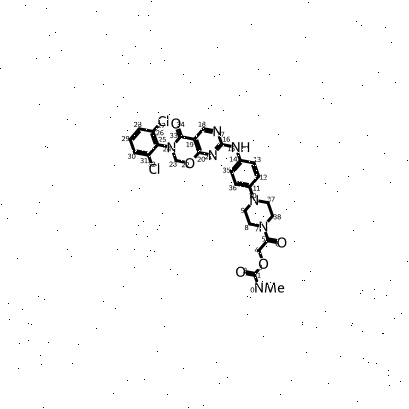 CNC(=O)OCC(=O)N1CCN(c2ccc(Nc3ncc4c(n3)OCN(c3c(Cl)cccc3Cl)C4=O)cc2)CC1